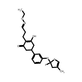 CCON=CCCC1=C(O)CC(c2cccc(OC3(F)CC(C)=CS3)c2)CC1=O